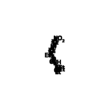 CCO[Si](CCCNC(=O)OCCN(CC)c1ccc(/N=N/c2ccc([N+](=O)[O-])cc2)cc1)(OCC)OCC